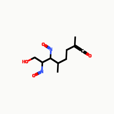 CC(=C=O)CCC(C)C(N=O)C(CO)N=O